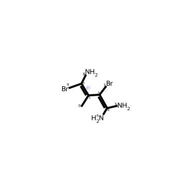 C/C(C(Br)=C(N)N)=C(/N)Br